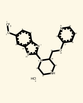 Cl.FC(F)(F)Oc1ccc2nc(N3CCNCC3COc3cccnc3)sc2c1